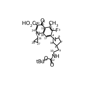 Cc1c(F)c(N2CCC(CCNC(=O)OC(C)(C)C)C2)cc2c1c(=O)c(C(=O)O)cn2C1CC1